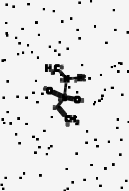 C=CS(=O)(=O)N(C)CC